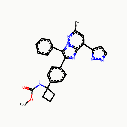 CCc1cc(-c2cc[nH]n2)c2nc(-c3ccc(C4(NC(=O)OC(C)(C)C)CCC4)cc3)c(-c3ccccc3)n2n1